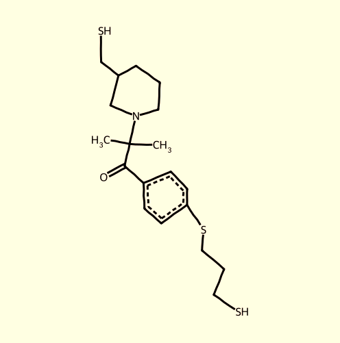 CC(C)(C(=O)c1ccc(SCCCS)cc1)N1CCCC(CS)C1